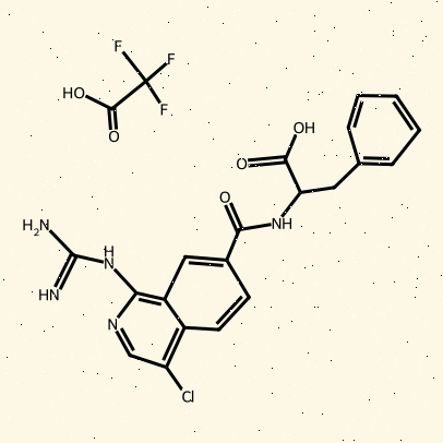 N=C(N)Nc1ncc(Cl)c2ccc(C(=O)NC(Cc3ccccc3)C(=O)O)cc12.O=C(O)C(F)(F)F